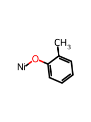 Cc1ccccc1[O][Ni]